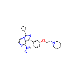 [N][N+]c1nccn2c(C3CCC3)nc(-c3cccc(OCCN4CCCCC4)c3)c12